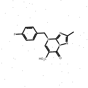 Cc1nc2n(Cc3ccc(F)cc3)cc(C(=O)O)c(=O)n2n1